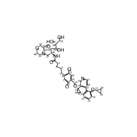 O=C(CCCCc1cc(Cl)c(COC2(c3cnccc3-c3ccccc3OC3CC3)CC2)cc1Cl)N[C@@H](CN1CCOCC1)[C@@H](O)[C@H](O)[C@H](O)CO